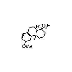 COC1C=CC2=C(C1)[C@@]1(C)CCC[C@](C)(C(=O)O)[C@@H]1CC2